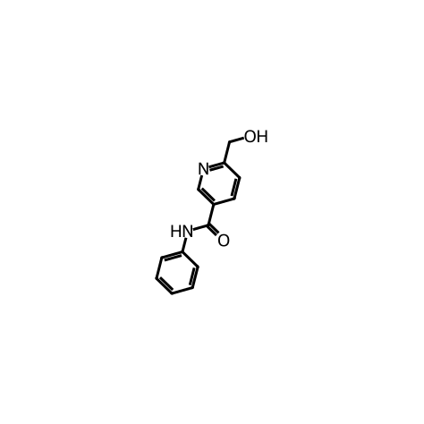 O=C(Nc1ccccc1)c1ccc(CO)nc1